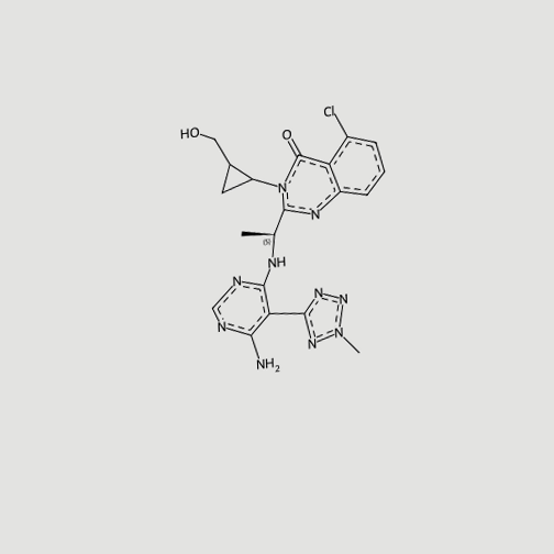 C[C@H](Nc1ncnc(N)c1-c1nnn(C)n1)c1nc2cccc(Cl)c2c(=O)n1C1CC1CO